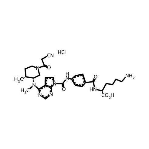 C[C@@H]1CCN(C(=O)CC#N)C[C@@H]1N(C)c1ncnc2c1ccn2C(=O)Nc1ccc(C(=O)N[C@@H](CCCCN)C(=O)O)cc1.Cl